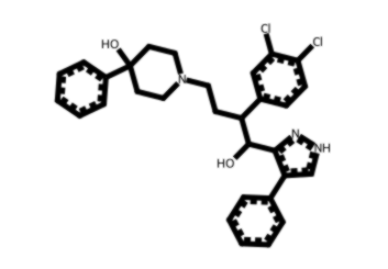 OC(c1n[nH]cc1-c1ccccc1)C(CCN1CCC(O)(c2ccccc2)CC1)c1ccc(Cl)c(Cl)c1